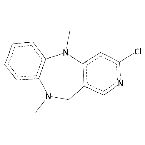 CN1Cc2cnc(Cl)cc2N(C)c2ccccc21